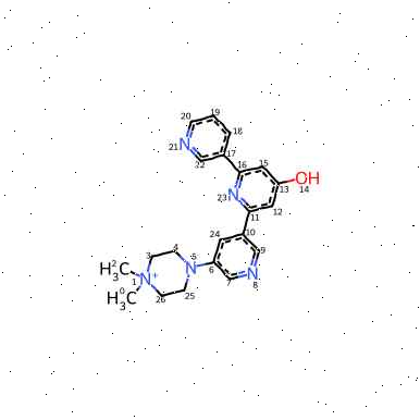 C[N+]1(C)CCN(c2cncc(-c3cc(O)cc(-c4cccnc4)n3)c2)CC1